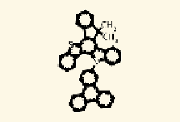 CC1(C)c2ccccc2-c2c1c1c3ccccc3n(-c3ccc4c5ccccc5c5ccccc5c4c3)c1c1c2sc2ccccc21